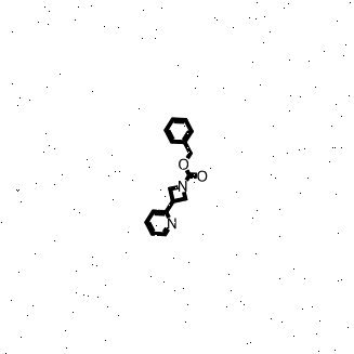 O=C(OCc1ccccc1)N1CC(c2ccccn2)C1